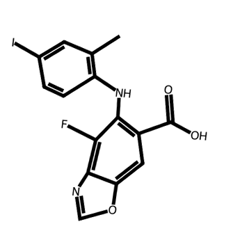 Cc1cc(I)ccc1Nc1c(C(=O)O)cc2ocnc2c1F